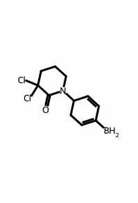 BC1=CCC(N2CCCC(Cl)(Cl)C2=O)C=C1